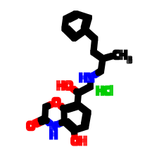 CC(CCc1ccccc1)CNCC(O)c1ccc(O)c2c1OCC(=O)N2.Cl